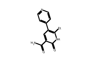 CCc1[nH]c(=O)c(C(N)=O)cc1-c1ccncc1